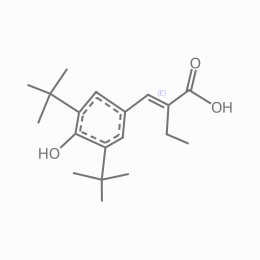 CC/C(=C\c1cc(C(C)(C)C)c(O)c(C(C)(C)C)c1)C(=O)O